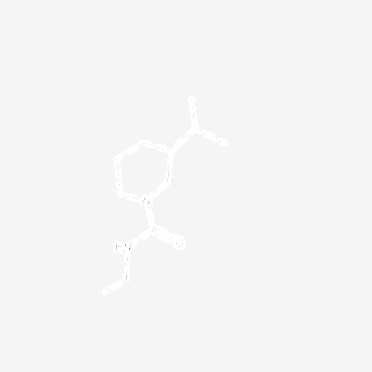 CCNC(=O)N1CCCC(C(C)C)C1